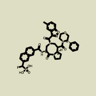 Cc1ccc2onc(C(=O)N3CC(C(=O)N4CCOC[C@@H]4c4ccccc4)[C@H]4CCCN4C(=O)[C@@H](NC(=O)c4ccc5ccc(C(F)P(=O)(O)O)cc5c4)C3)c2c1